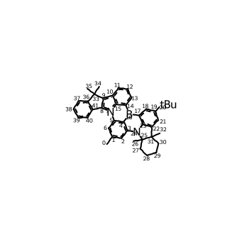 Cc1cc2c3c(c1)-n1c4c(c5cccc(c51)B3c1cc(C(C)(C)C)cc3c1N2C1(C)CCCCC31C)C(C)(C)c1ccccc1-4